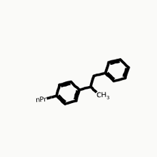 CCCc1ccc(C(C)Cc2ccccc2)cc1